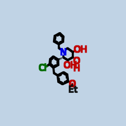 CCOc1ccc(Cc2cc([C@H]3[C@H](O)[C@@H](O)C(O)CN3Cc3ccccc3)ccc2Cl)cc1